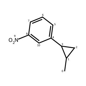 CC1CC1c1cccc([N+](=O)[O-])c1